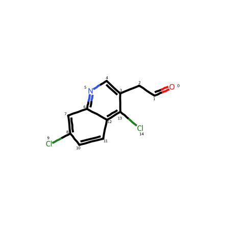 O=CCc1cnc2cc(Cl)ccc2c1Cl